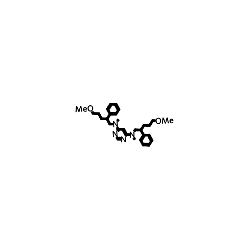 COCCCC(CN(C)c1cc(N(C)CC(CCCOC)c2ccccc2)ncn1)c1ccccc1